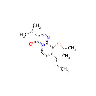 CCCc1ccn2c(=O)c(C(C)C)cnc2c1OC(C)C